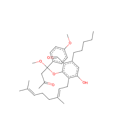 CCCCCc1cc(O)c(C/C=C(\C)CCC=C(C)C)c(OC(CC(C)=O)(OC)c2ccc(OC)cc2)c1C=O